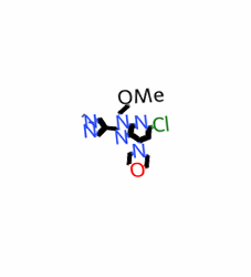 COCCn1c(-c2cnn(C)c2)nc2c(N3CCOCC3)cc(Cl)nc21